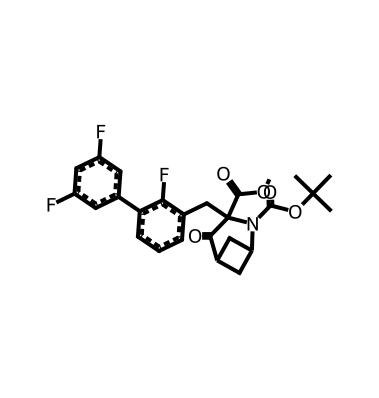 COC(=O)C1(Cc2cccc(-c3cc(F)cc(F)c3)c2F)C(=O)C2CC(C2)N1C(=O)OC(C)(C)C